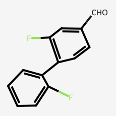 O=Cc1ccc(-c2ccccc2F)c(F)c1